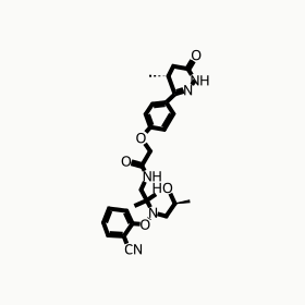 C[C@H](O)CN(Oc1ccccc1C#N)C(C)(C)CNC(=O)COc1ccc(C2=NNC(=O)C[C@H]2C)cc1